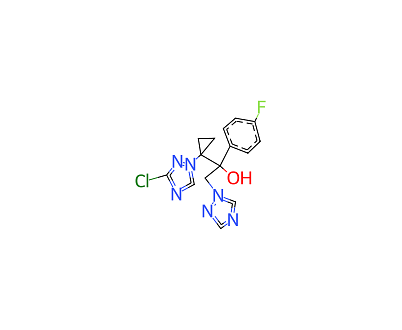 OC(Cn1cncn1)(c1ccc(F)cc1)C1(n2cnc(Cl)n2)CC1